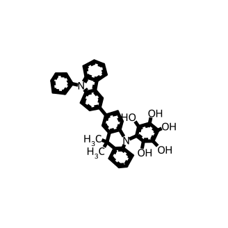 CC1(C)c2ccccc2N(c2c(O)c(O)c(O)c(O)c2O)c2ccc(-c3ccc4c(c3)c3ccccc3n4-c3ccccc3)cc21